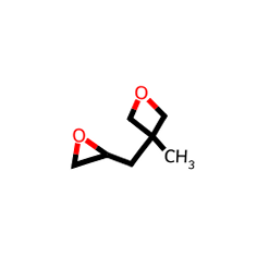 CC1(CC2CO2)COC1